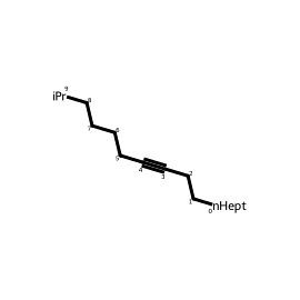 CCCCCCCCCC#CCCCCC(C)C